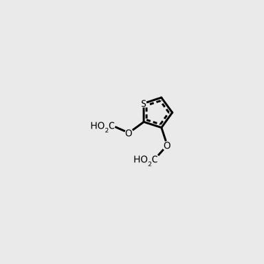 O=C(O)Oc1ccsc1OC(=O)O